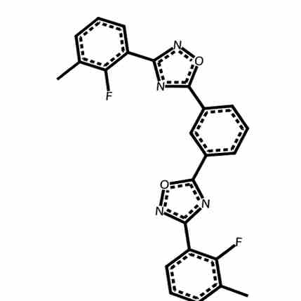 Cc1cccc(-c2noc(-c3cccc(-c4nc(-c5cccc(C)c5F)no4)c3)n2)c1F